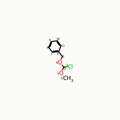 CO[C](Cl)OCc1ccccc1